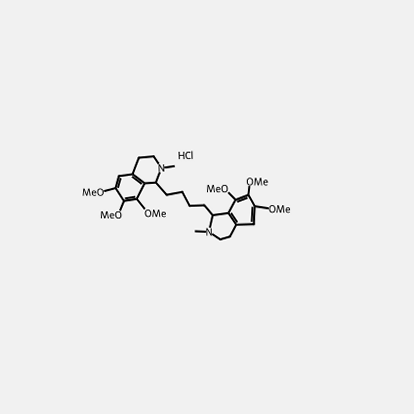 COc1cc2c(c(OC)c1OC)C(CCCCC1c3c(cc(OC)c(OC)c3OC)CCN1C)N(C)CC2.Cl